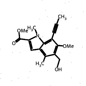 CC#Cc1c(OC)c(CO)c(C)c2cc(C(=O)OC)n(C)c12